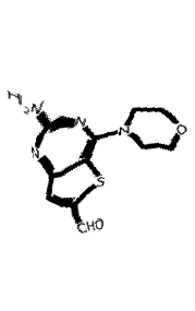 Nc1nc(N2CCOCC2)c2sc(C=O)cc2n1